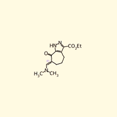 CCOC(=O)c1n[nH]c2c1CCC/C(=C\N(C)C)C2=O